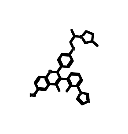 CC1=C(c2cccc(-n3ccnc3)c2C)C(c2ccc(OCC(C)N3CCC(C)C3)cc2)Oc2ccc(O)cc21